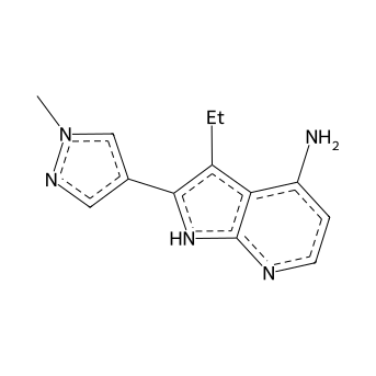 CCc1c(-c2cnn(C)c2)[nH]c2nccc(N)c12